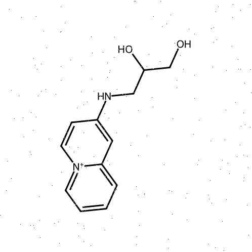 OCC(O)CNc1cc[n+]2ccccc2c1